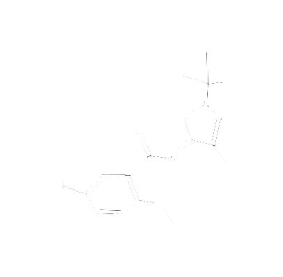 COc1ccc(Cl)cc1C(=O)/N=c1\sn(C(C)(C)C)cc1C